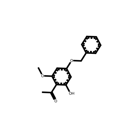 COc1cc(OCc2ccccc2)cc(O)c1C(C)=O